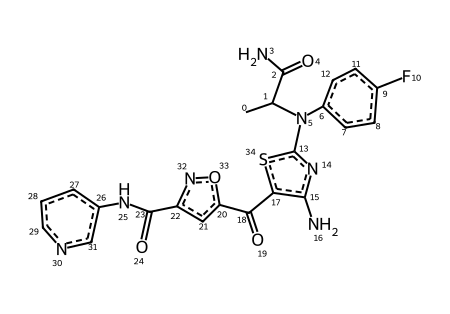 CC(C(N)=O)N(c1ccc(F)cc1)c1nc(N)c(C(=O)c2cc(C(=O)Nc3cccnc3)no2)s1